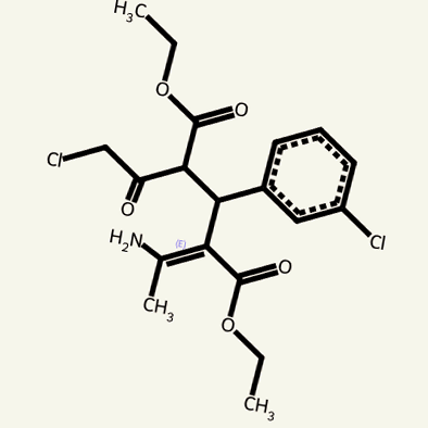 CCOC(=O)/C(=C(\C)N)C(c1cccc(Cl)c1)C(C(=O)CCl)C(=O)OCC